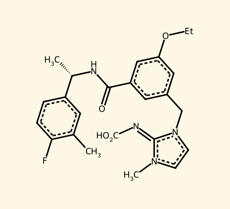 CCOc1cc(Cn2ccn(C)/c2=N\C(=O)O)cc(C(=O)N[C@@H](C)c2ccc(F)c(C)c2)c1